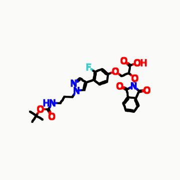 CC(C)(C)OC(=O)NCCCn1cc(-c2ccc(OCC(ON3C(=O)c4ccccc4C3=O)C(=O)O)cc2F)cn1